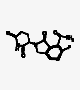 NC(=O)c1c(F)ccc2c1C(=O)N(C1CCC(=O)NC1=O)C2